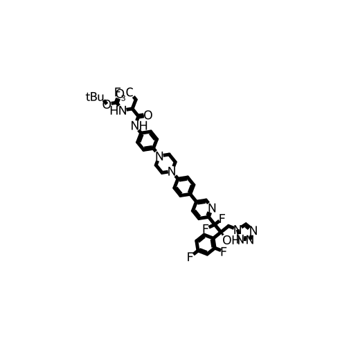 CC(C)(C)OC(=O)NC(CC(F)(F)F)C(=O)Nc1ccc(N2CCN(c3ccc(-c4ccc(C(F)(F)[C@](O)(Cn5cnnn5)c5ccc(F)cc5F)nc4)cc3)CC2)cc1